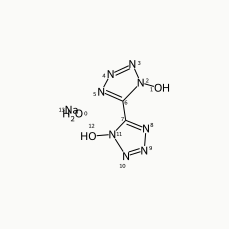 O.On1nnnc1-c1nnnn1O.[Na]